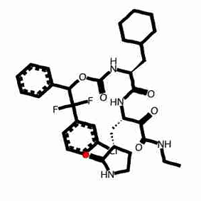 CCNC(=O)C(=O)[C@H](C[C@@H]1CCNC1=O)NC(=O)[C@H](CC1CCCCC1)NC(=O)OC(c1ccccc1)C(F)(F)c1cccc(Cl)c1